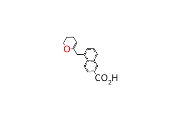 O=C(O)c1ccc2c(CC3=CCCCO3)cccc2c1